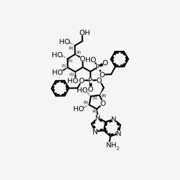 Nc1ncnc2c1ncn2[C@@H]1O[C@H](COP(=O)(OCc2ccccc2)C(C2O[C@H]([C@H](O)CO)[C@@H](O)[C@H](O)[C@@H]2O)P(=O)(O)OCc2ccccc2)[C@@H](O)[C@H]1O